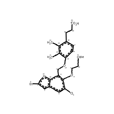 CCc1cc2cc(Cl)c(OCCOC)c(COc3ccc(CCC(=O)O)c(C)c3C)c2o1